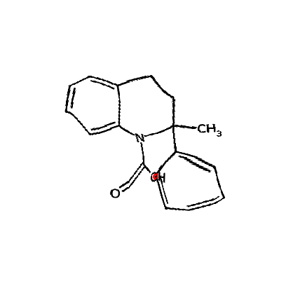 CC1(c2ccccc2)CCc2ccccc2N1C(=O)O